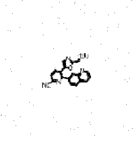 CC(C)(C)Cc1ncc(-c2ccc(C#N)nc2-c2ccc3cccnc3c2)o1